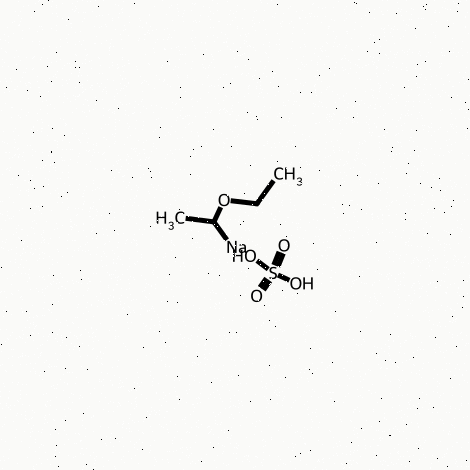 CCO[CH](C)[Na].O=S(=O)(O)O